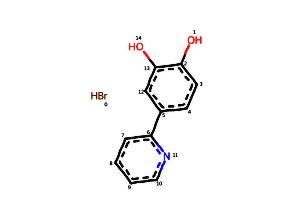 Br.Oc1ccc(-c2ccccn2)cc1O